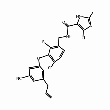 C=CCc1cc(C#N)cc(Oc2c(Cl)ccc(CNC(=O)c3[nH]c(C)nc3Cl)c2F)c1